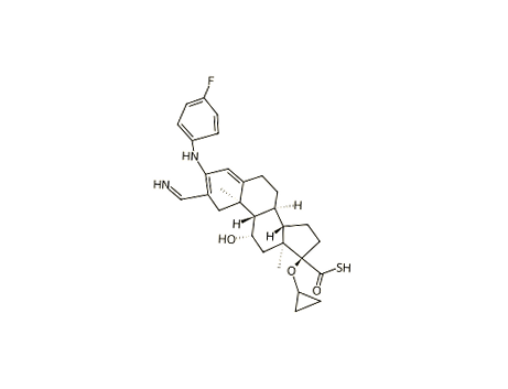 C[C@]12CC(C=N)=C(Nc3ccc(F)cc3)C=C1CC[C@@H]1[C@@H]2[C@@H](O)C[C@@]2(C)[C@H]1CC[C@]2(OC1CC1)C(=O)S